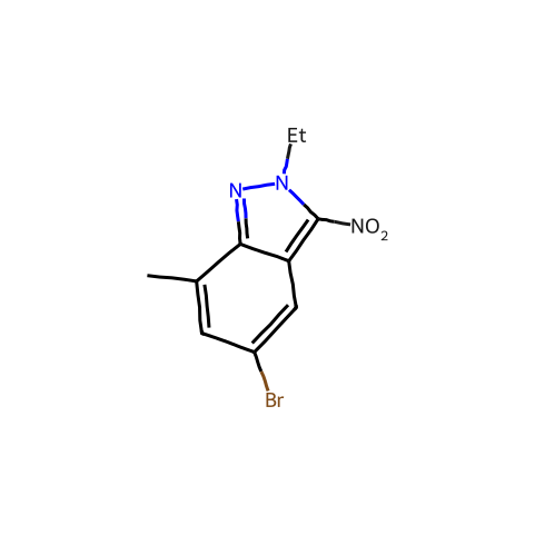 CCn1nc2c(C)cc(Br)cc2c1[N+](=O)[O-]